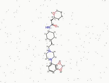 O=C(C[C@@H]1CCCCO1)N[C@H]1CC[C@H](CCN2CCN(c3cccc4c3OCO4)CC2)CC1